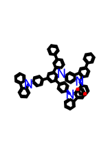 c1ccc(-c2ccc3c(c2)c2cc(-n4c5ccc(-c6ccccc6)cc5c5cc(-c6ccc(-n7c8ccccc8c8ccccc87)cc6)cc(-c6ccc(-n7c8ccccc8c8ccccc87)cc6)c54)ccc2n3-c2ccccc2)cc1